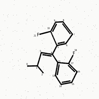 CC(C)C=C(c1ccccc1F)c1ccccc1F